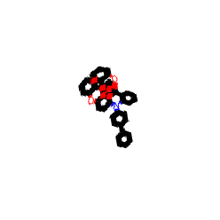 c1ccc(-c2ccc(N(c3ccc4c(c3)C3(c5ccccc5Oc5ccccc53)c3ccccc3O4)c3ccccc3-c3ccccc3)cc2)cc1